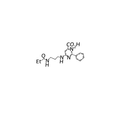 CCC(=O)NCCCNc1cc(C(=O)O)nc(-c2ccccc2)n1